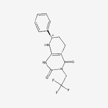 O=c1[nH]c2c(c(=O)n1CC(F)(F)F)CC[C@H](c1ccccc1)N2